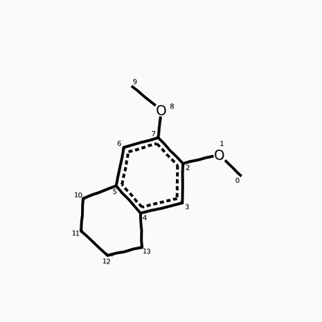 COc1cc2c(cc1OC)CC[CH]C2